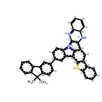 CC1(C)c2ccccc2-c2cc(-c3ccc4c(c3)c3c5sc6ccccc6c5cc5c6c(n4c53)N=C3C=CC=CC3N6)ccc21